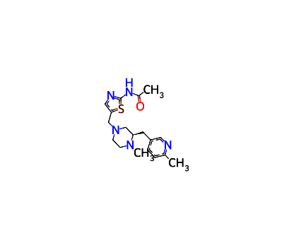 CC(=O)Nc1ncc(CN2CCN(C)[C@H](Cc3ccc(C)nc3)C2)s1